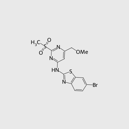 COCc1cc(Nc2nc3ccc(Br)cc3s2)nc(S(C)(=O)=O)n1